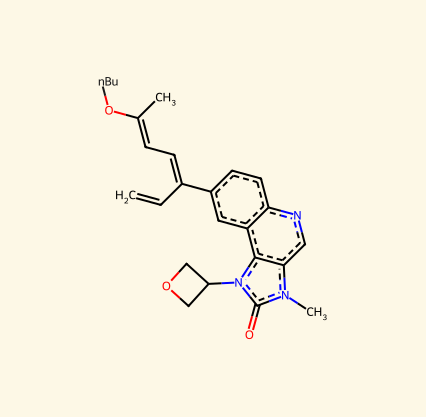 C=C/C(=C\C=C(/C)OCCCC)c1ccc2ncc3c(c2c1)n(C1COC1)c(=O)n3C